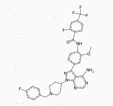 COc1cc(-c2nn(C3CCN(Cc4ccc(F)cc4)CC3)c3ncnc(N)c23)ccc1NC(=O)c1ccc(C(F)(F)F)cc1F